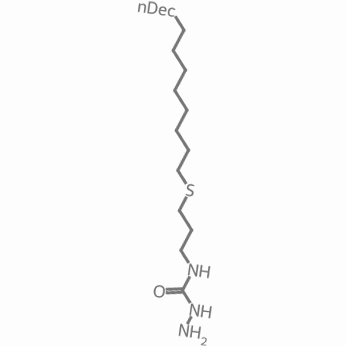 CCCCCCCCCCCCCCCCCCSCCCNC(=O)NN